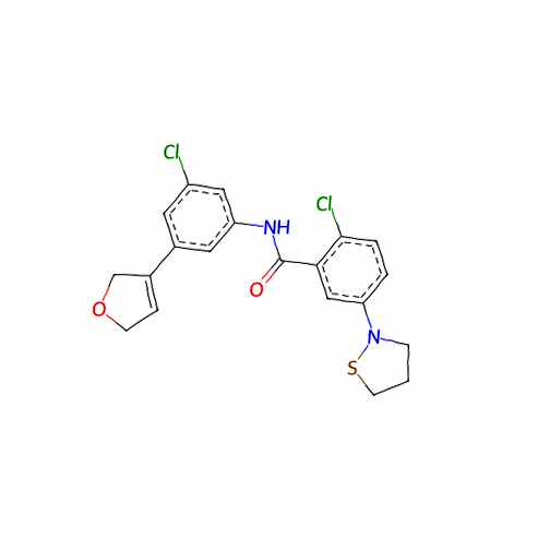 O=C(Nc1cc(Cl)cc(C2=CCOC2)c1)c1cc(N2CCCS2)ccc1Cl